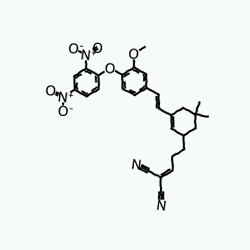 COc1cc(/C=C/C2=CC(CCC=C(C#N)C#N)CC(C)(C)C2)ccc1Oc1ccc([N+](=O)[O-])cc1[N+](=O)[O-]